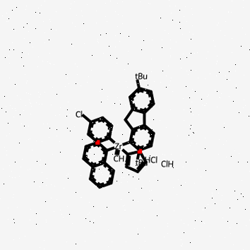 Cl.Cl.[CH2]=[Zr]([C]1=CC=CC1)([c]1ccc(Cl)cc1)([c]1c(C(C)(C)C)ccc2c1Cc1cc(C(C)(C)C)ccc1-2)[c]1cccc2ccccc12